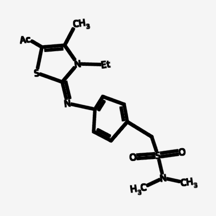 CCn1c(C)c(C(C)=O)sc1=Nc1ccc(CS(=O)(=O)N(C)C)cc1